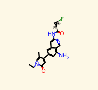 CCn1cc(C)c(-c2cc(N)c3cnc(NC(=O)[C@H]4C[C@H]4F)cc3c2)cc1=O